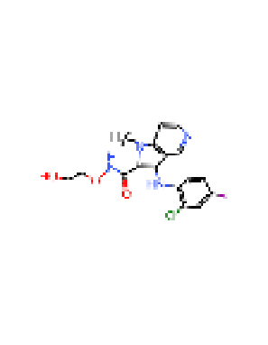 Cn1c(C(=O)NOCCO)c(Nc2ccc(I)cc2Cl)c2cnccc21